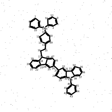 c1ccc(N(c2ccccc2)c2ccc(CCC3c4ccccc4-c4cc(-c5ccc6c(c5)c5ccccc5n6-c5ccccc5)ccc43)cc2)cc1